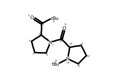 CC(C)(C)C(=O)C1CCCN1C(=O)C1CCCN1C(C)(C)C